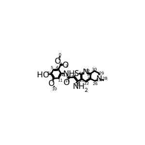 COC(=O)c1cc(O)c(OC)cc1NC(=O)c1sc2nc3c(cc2c1N)CN(C)CC3